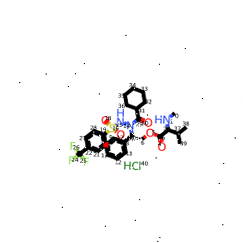 CNC(C(=O)OC[C@H](c1ccccc1)N(NS(=O)(=O)c1ccc(C(F)(F)F)cc1)C(=O)C1CCCCC1)C(C)C.Cl